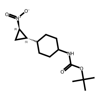 CC(C)(C)OC(=O)NC1CCC([C@@H]2C[C@H]2[N+](=O)[O-])CC1